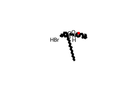 Br.CCCCCCCCCCCCCCOc1cc(C(C)(C)C)ccc1OCC(=O)Nc1ccc(CN2CSC=C2C)cc1